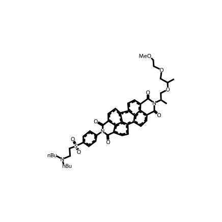 CCCCN(CCCC)CCS(=O)(=O)c1ccc(N2C(=O)c3ccc4c5ccc6c7c(ccc(c8ccc(c3c48)C2=O)c75)C(=O)N(C(C)COC(C)COCCOC)C6=O)cc1